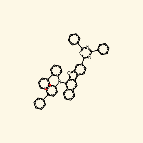 c1ccc(-c2ccc(N(c3ccccc3-c3ccccc3)c3c4ccccc4cc4c3oc3cc(-c5nc(-c6ccccc6)nc(-c6ccccc6)n5)ccc34)cc2)cc1